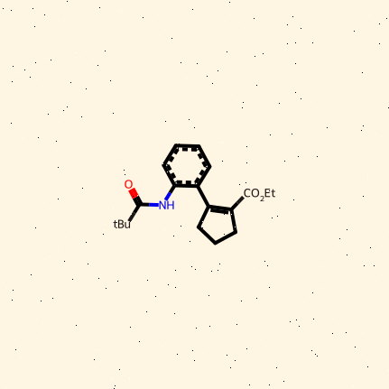 CCOC(=O)C1=C(c2ccccc2NC(=O)C(C)(C)C)CCC1